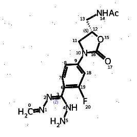 C=N/N=C(\NN)c1ccc(N2C[C@H](CNC(C)=O)OC2=O)cc1F